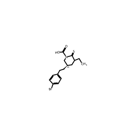 CCC1C[C@@H](CCc2ccc(Br)cc2)CN(C(=O)O)C1=S